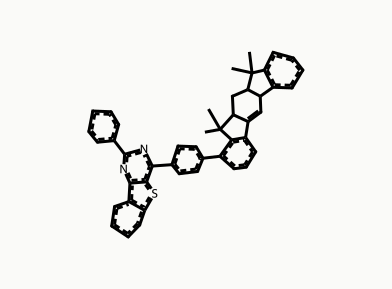 CC1(C)c2c(cccc2-c2ccc(-c3nc(-c4ccccc4)nc4c3sc3ccccc34)cc2)C2=CC3c4ccccc4C(C)(C)C3CC21